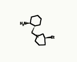 CC[C@H]1CCCN(C[C@H]2CCCC[C@@H]2N)C1